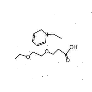 CCN1C=CC=CC1.CCOCCOCCC(=O)O